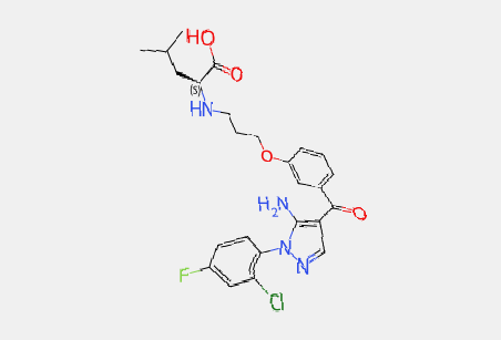 CC(C)C[C@H](NCCCOc1cccc(C(=O)c2cnn(-c3ccc(F)cc3Cl)c2N)c1)C(=O)O